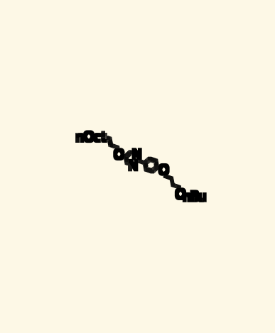 CCCCCCCCC=CCOc1cnc(-c2ccc(OCCCCOCCCC)cc2)nc1